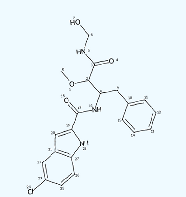 COC(C(=O)NCO)C(Cc1ccccc1)NC(=O)c1cc2cc(Cl)ccc2[nH]1